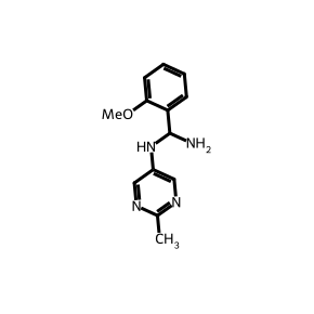 COc1ccccc1C(N)Nc1cnc(C)nc1